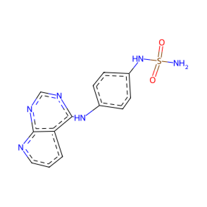 NS(=O)(=O)Nc1ccc(Nc2ncnc3ncccc23)cc1